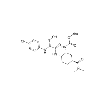 CN(C)C(=O)[C@H]1CC[C@H](NC(=O)/C(=N\O)Nc2ccc(Cl)cc2)[C@H](NC(=O)OC(C)(C)C)C1